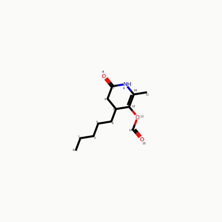 CCCCCC1CC(=O)NC(C)=C1OC=O